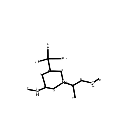 CNC1CC(C(F)(F)F)CN(C(C)CSC)C1